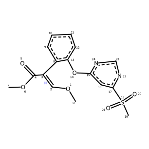 CO/C=C(/C(=O)OC)c1ccccc1Oc1cc(S(C)(=O)=O)ncn1